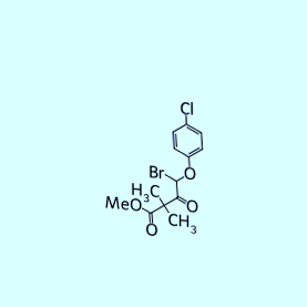 COC(=O)C(C)(C)C(=O)C(Br)Oc1ccc(Cl)cc1